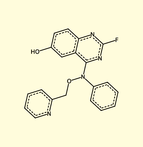 Oc1ccc2nc(F)nc(N(OCc3ccccn3)c3ccccc3)c2c1